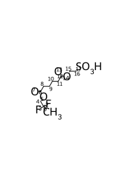 CC(F)(F)COC(=O)CCCCC(=O)OCCS(=O)(=O)O